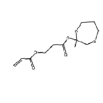 C=CC(=O)OCCC(=O)OC1(C)CSCCCO1